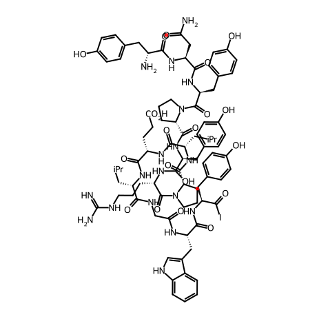 CC(C)C[C@H](NC(=O)[C@H](CCC(=O)O)NC(=O)[C@H](CC(C)C)NC(=O)[C@@H]1CCCN1C(=O)[C@H](CCCNC(=N)N)NC(O)[C@H](Cc1ccc(O)cc1)NC(=O)[C@@H]1CCCN1C(=O)[C@H](Cc1ccc(O)cc1)NC(=O)[C@H](CC(N)=O)NC(=O)[C@H](N)Cc1ccc(O)cc1)C(=O)NCC(=O)N[C@@H](Cc1c[nH]c2ccccc12)C(=O)N[C@@H](Cc1ccc(O)cc1)C(=O)I